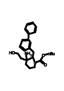 CCCCOC(=O)N1CCCC(N)(CCO)C1Cc1cccc(-c2ccccc2)c1